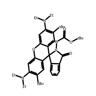 CCCCc1cc2c(cc1N(CC)CC)Oc1cc(N(CC)CC)c(CCCC)cc1C21c2ccccc2C(=O)N1NC(=O)OC(C)(C)C